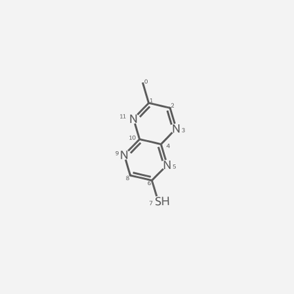 Cc1cnc2nc(S)cnc2n1